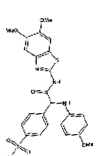 CCS(=O)(=O)c1ccc(C(Nc2ccc(OC)cc2)C(=O)Nc2nc3cc(OC)c(OC)cc3s2)cc1